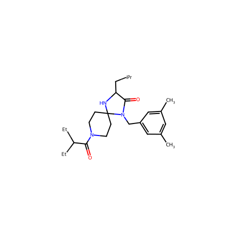 CCC(CC)C(=O)N1CCC2(CC1)NC(CC(C)C)C(=O)N2Cc1cc(C)cc(C)c1